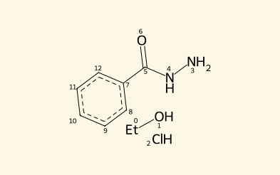 CCO.Cl.NNC(=O)c1ccccc1